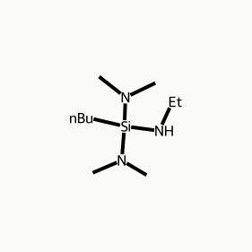 CCCC[Si](NCC)(N(C)C)N(C)C